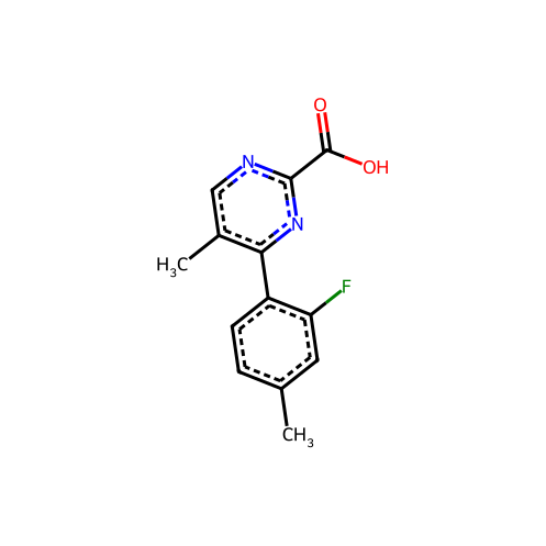 Cc1ccc(-c2nc(C(=O)O)ncc2C)c(F)c1